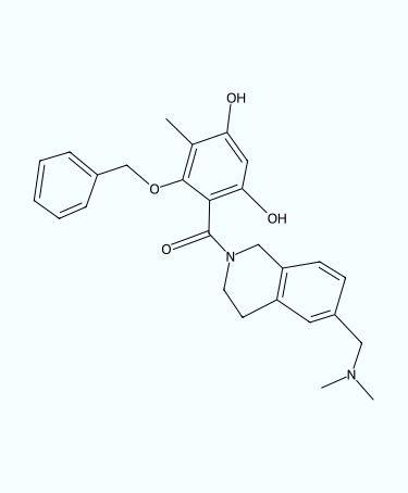 Cc1c(O)cc(O)c(C(=O)N2CCc3cc(CN(C)C)ccc3C2)c1OCc1ccccc1